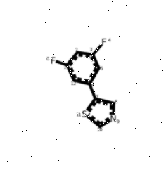 Fc1cc(F)cc(-c2cn[c]s2)c1